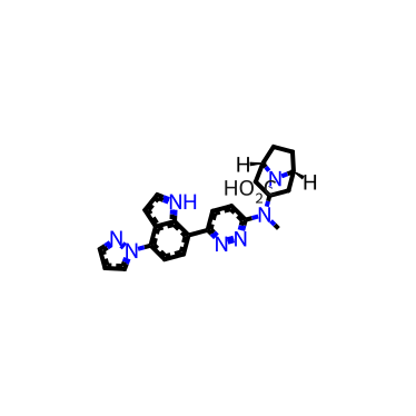 CN(c1ccc(-c2ccc(-n3cccn3)c3cc[nH]c23)nn1)C1C[C@H]2CC[C@@H](C1)N2C(=O)O